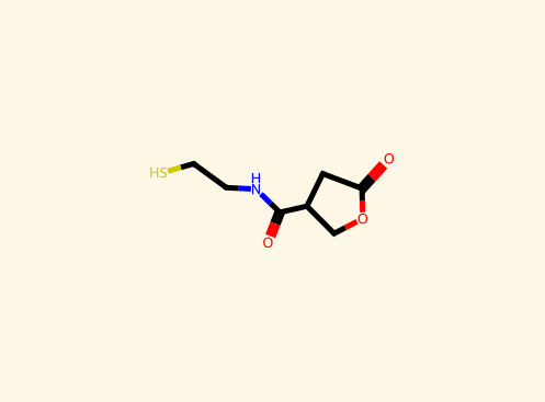 O=C1CC(C(=O)NCCS)CO1